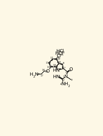 CN(C(=N)N)C(=O)c1cc2c(Cl)ccc(OCCN)c2[nH]1.Cl.Cl